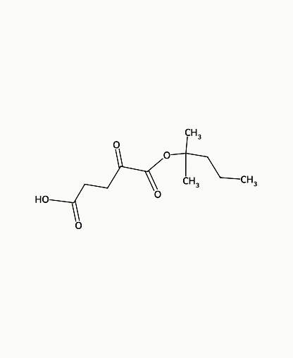 CCCC(C)(C)OC(=O)C(=O)CCC(=O)O